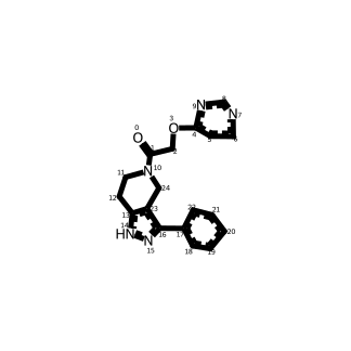 O=C(COc1ccncn1)N1CCc2[nH]nc(-c3ccccc3)c2C1